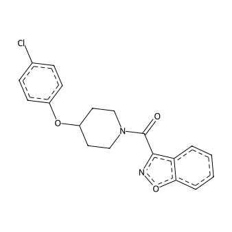 O=C(c1noc2ccccc12)N1CCC(Oc2ccc(Cl)cc2)CC1